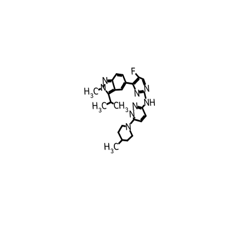 CC1CCN(c2ccc(Nc3ncc(F)c(-c4ccc5nn(C)c(C(C)C)c5c4)n3)nn2)CC1